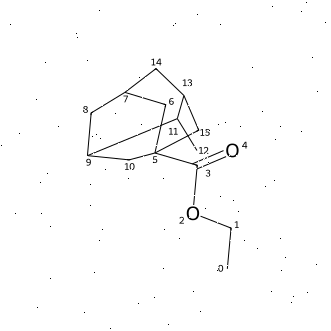 CCOC(=O)C12CC3CC(C1)C(C)C(C3)C2